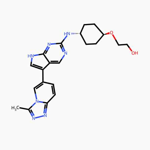 Cc1nnc2ccc(-c3c[nH]c4nc(N[C@H]5CC[C@H](OCCO)CC5)ncc34)cn12